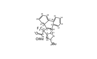 CCC(C)C1COC(C(C(=O)OC)(c2nc3ccccc3c3ccccc23)C(F)(F)F)=N1